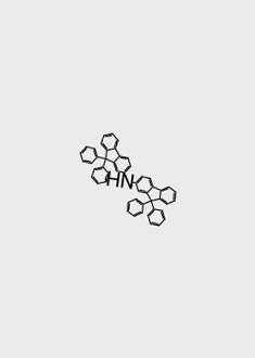 c1ccc(C2(c3ccccc3)c3ccccc3-c3ccc(Nc4ccc5c(c4)C(c4ccccc4)(c4ccccc4)c4ccccc4-5)cc32)cc1